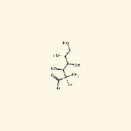 CC(=O)C(=O)[C@@](N)(C(C)=O)[C@@H](O)[C@H](O)[C@H](O)CO